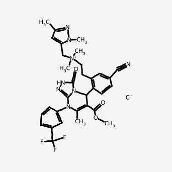 COC(=O)C1=C(C)N(c2cccc(C(F)(F)F)c2)c2n[nH]c(=O)n2C1c1ccc(C#N)cc1CC[N+](C)(C)Cc1cc(C)nn1C.[Cl-]